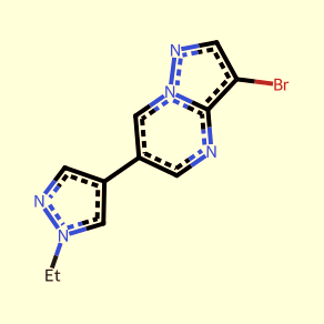 CCn1cc(-c2cnc3c(Br)cnn3c2)cn1